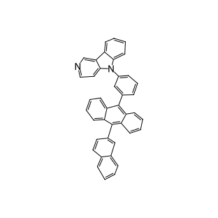 c1cc(-c2c3ccccc3c(-c3ccc4ccccc4c3)c3ccccc23)cc(-n2c3ccccc3c3cnccc32)c1